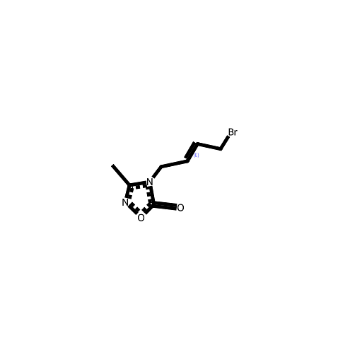 Cc1noc(=O)n1C/C=C/CBr